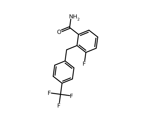 NC(=O)c1cccc(F)c1Cc1ccc(C(F)(F)F)cc1